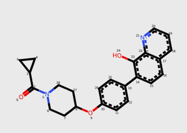 O=C(C1CC1)N1CCC(Oc2ccc(-c3ccc4cccnc4c3O)cc2)CC1